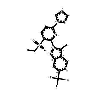 CCS(=O)(=O)c1ccc(-n2cncn2)nc1-n1nc2cc(C(F)(F)F)ncc2c1C